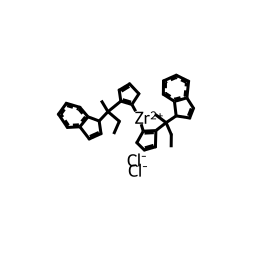 CCC(C)(C1=[C]([Zr+2][C]2=C(C(C)(CC)C3C=Cc4ccccc43)C=CC2)CC=C1)C1C=Cc2ccccc21.[Cl-].[Cl-]